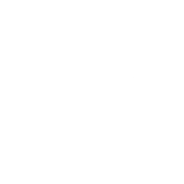 CCCCCC1CCC(c2ccc(-c3ccc(C(=O)OCCCC)cc3)c(F)c2)CC1